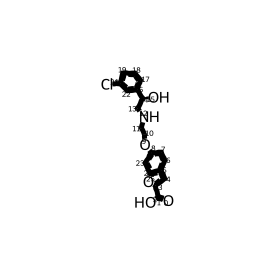 O=C(O)c1cc2ccc(OCCNC[C@H](O)c3cccc(Cl)c3)cc2o1